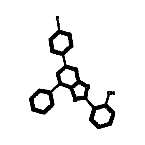 Oc1ccccc1-c1nc2c(-c3ccccc3)cc(-c3ccc(F)cc3)cc2s1